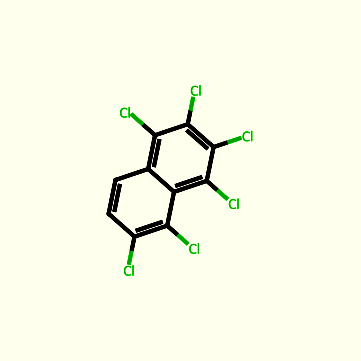 Clc1ccc2c(Cl)c(Cl)c(Cl)c(Cl)c2c1Cl